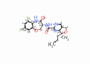 CCC[C@]1(C)OCc2cnc(C(=O)N[C@H]3COc4cc(F)cc(F)c4NC3=O)nc21